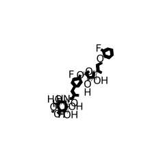 CC(=Cc1ccc(O[C@@H]2O[C@H](C(C)=CCOc3ccccc3F)[C@@H](O)[C@H]2O)c(F)c1)C(=O)N[C@@H]1[C@H](O)[C@@H](O)[C@H]2OCO[C@H]2[C@@H]1O